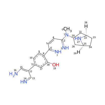 CN(C(=N)/C=C\C(=N)c1ccc(/C(C=N)=C/N)cc1O)C1C[C@H]2CC[C@@H](C1)N2